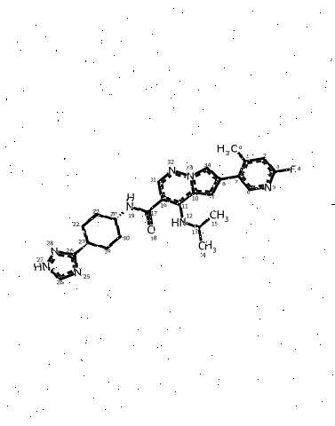 Cc1cc(F)ncc1-c1cc2c(NC(C)C)c(C(=O)N[C@H]3CC[C@H](c4nc[nH]n4)CC3)cnn2c1